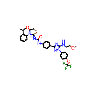 COCCNc1nc(-c2ccc(NC(=O)/N=C3\SCC(=O)N3c3ccccc3C(C)C)cc2)nn1-c1ccc(OC(F)(F)F)cc1